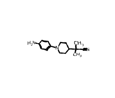 CC(C)(C#N)C1CCN(c2ccc(N)cc2)CC1